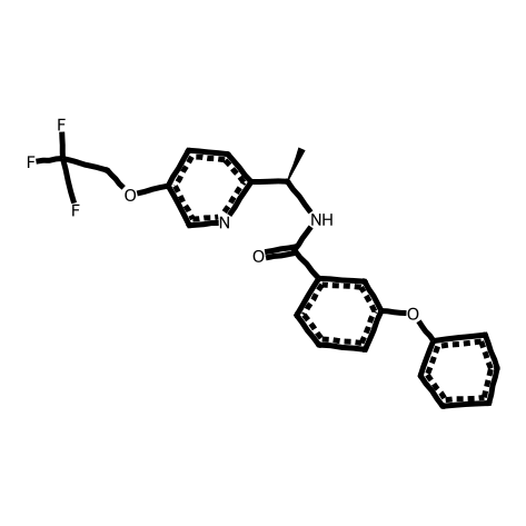 C[C@@H](NC(=O)c1cccc(Oc2ccccc2)c1)c1ccc(OCC(F)(F)F)cn1